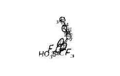 O=C(OC(CS(=O)(=O)O)(C(F)(F)F)C(F)(F)F)C1CC2CC(OCC3CO3)C1C2